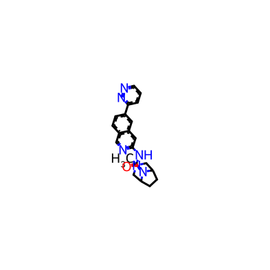 CN1CC2CCC(C1)N2C(=O)Nc1cc2cc(-c3cccnn3)ccc2cn1